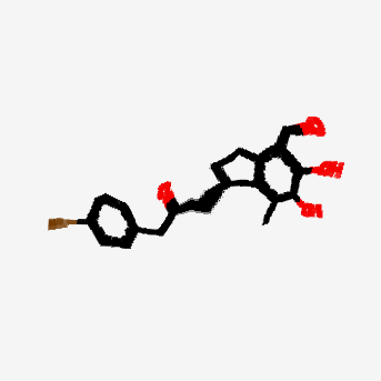 Cc1c(O)c(O)c(C=O)c2c1C(CC(=O)Cc1ccc(Br)cc1)CC2